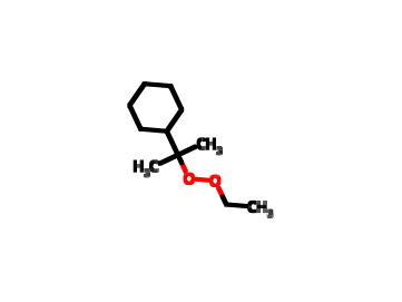 CCOOC(C)(C)C1CCCCC1